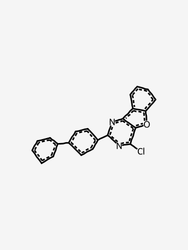 Clc1nc(-c2ccc(-c3ccccc3)cc2)nc2c1oc1ccccc12